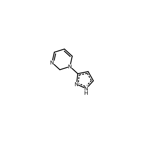 C1=CN(c2cc[nH]n2)CN=C1